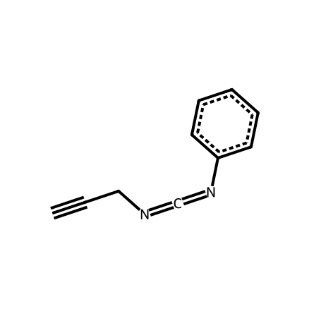 C#CCN=C=Nc1ccccc1